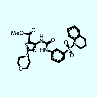 COC(=O)c1sc(N2CCOCC2)nc1NC(=O)Nc1cccc(S(=O)(=O)N2CCCc3ccccc32)c1